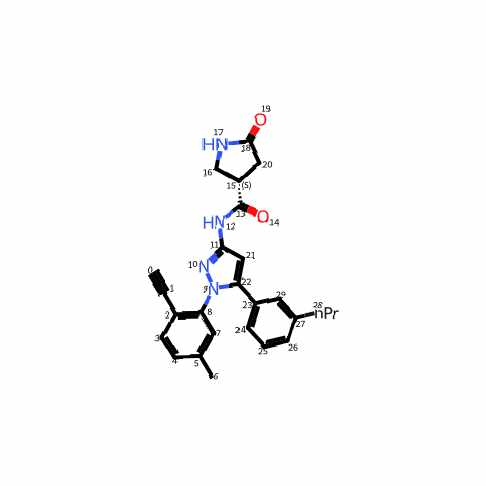 C#Cc1ccc(C)cc1-n1nc(NC(=O)[C@@H]2CNC(=O)C2)cc1-c1cccc(CCC)c1